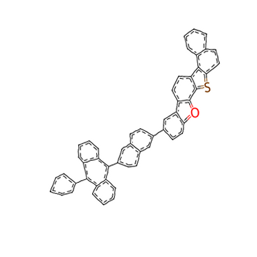 c1ccc(-c2c3ccccc3c(-c3ccc4cc(-c5ccc6oc7c(ccc8c7sc7ccc9ccccc9c78)c6c5)ccc4c3)c3ccccc23)cc1